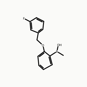 CB(O)c1ccccc1OCc1cccc(F)c1